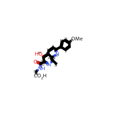 COc1ccc(-c2ccc3c(O)c(C(=O)NCC(=O)O)nc(C)c3n2)cc1